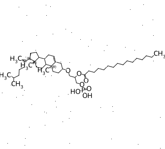 CCCCCCCCCCCCCCCC(=O)OC(COC1CC[C@@]2(C)C(=CCC3C2CC[C@@]2(C)C3CC[C@@H]2[C@H](C)CCCC(C)C)C1)COP(=O)(O)O